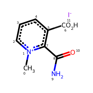 C[n+]1cccc(C(=O)O)c1C(N)=O.[I-]